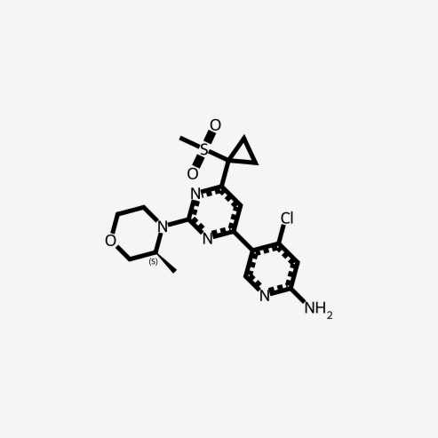 C[C@H]1COCCN1c1nc(-c2cnc(N)cc2Cl)cc(C2(S(C)(=O)=O)CC2)n1